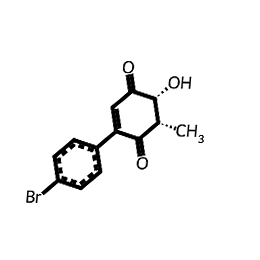 C[C@@H]1C(=O)C(c2ccc(Br)cc2)=CC(=O)[C@@H]1O